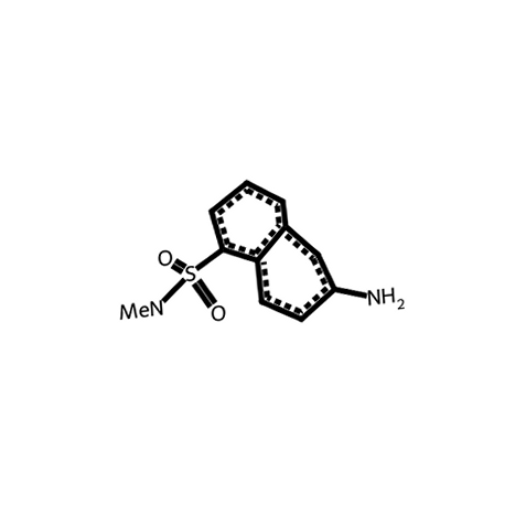 CNS(=O)(=O)c1cccc2cc(N)ccc12